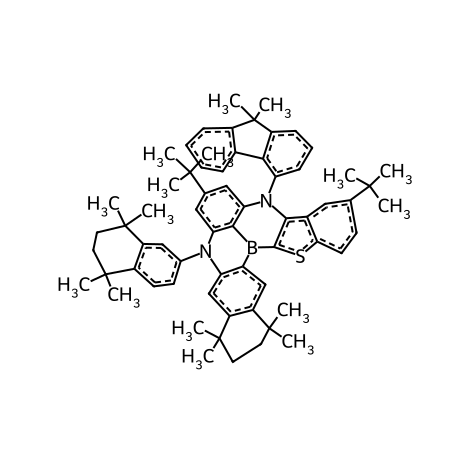 CC(C)(C)c1cc2c3c(c1)N(c1cccc4c1-c1ccccc1C4(C)C)c1c(sc4ccc(C(C)(C)C)cc14)B3c1cc3c(cc1N2c1ccc2c(c1)C(C)(C)CCC2(C)C)C(C)(C)CCC3(C)C